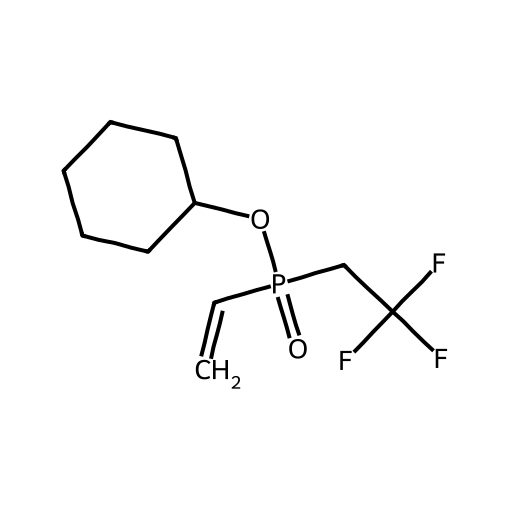 C=CP(=O)(CC(F)(F)F)OC1CCCCC1